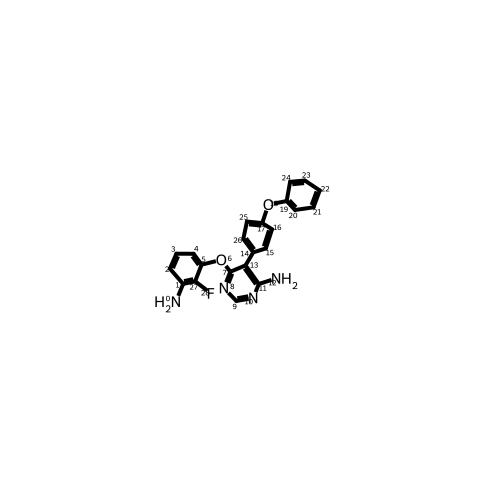 Nc1cccc(Oc2ncnc(N)c2-c2ccc(Oc3ccccc3)cc2)c1F